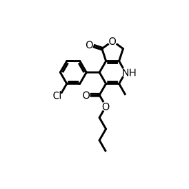 CCCCOC(=O)C1=C(C)NC2=C(C(=O)OC2)C1c1cccc(Cl)c1